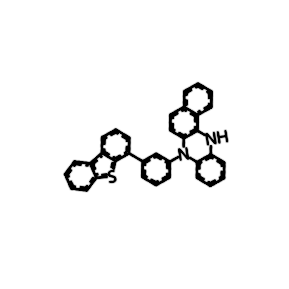 c1cc(-c2cccc3c2sc2ccccc23)cc(N2c3ccccc3Nc3c2ccc2ccccc32)c1